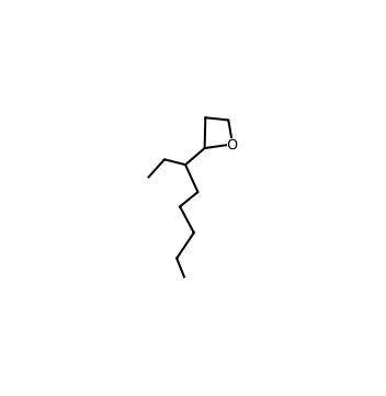 CCCCCC(CC)C1CCO1